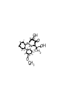 C=C(O)c1nn(-c2ccccc2-c2cccc(OC)c2)cc(O)c1=O